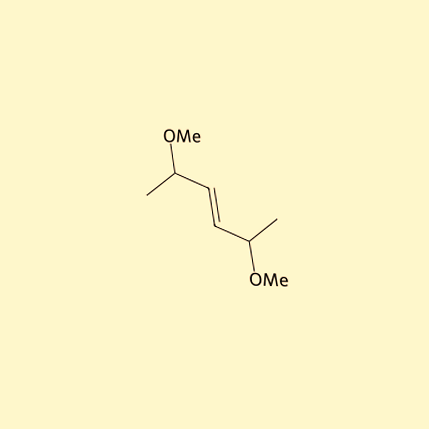 COC(C)C=CC(C)OC